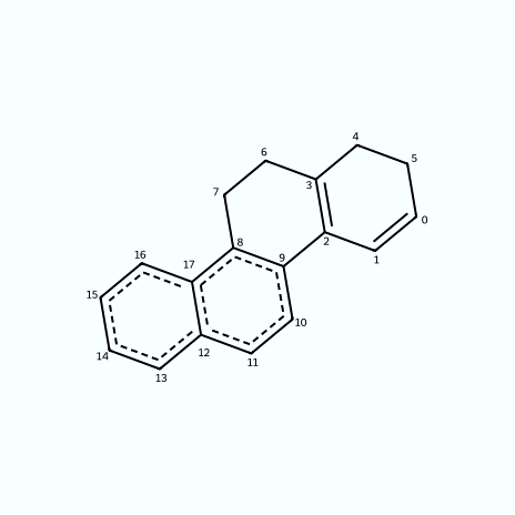 C1=CC2=C(CC1)CCc1c2ccc2ccccc12